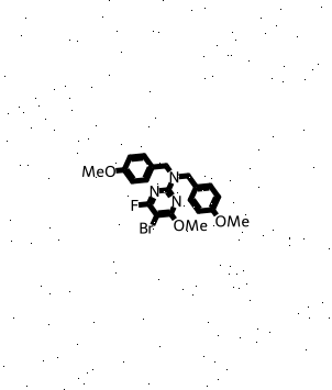 COc1ccc(CN(Cc2ccc(OC)cc2)c2nc(F)c(Br)c(OC)n2)cc1